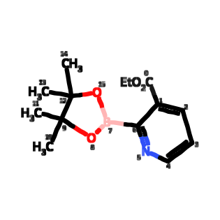 CCOC(=O)c1cccnc1B1OC(C)(C)C(C)(C)O1